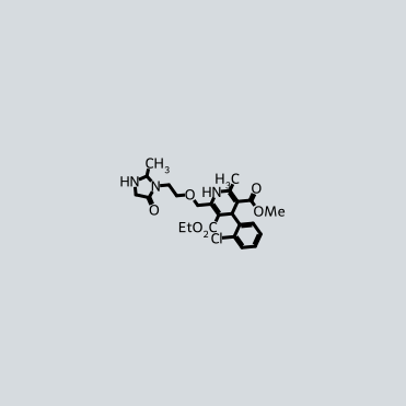 CCOC(=O)C1=C(COCCN2C(=O)CNC2C)NC(C)=C(C(=O)OC)C1c1ccccc1Cl